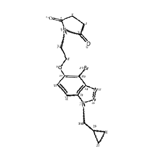 O=C1CCC(=O)N1CCOc1ccc2c(nnn2CC2CC2)c1Br